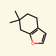 CC1(C)C[C]c2ccoc2C1